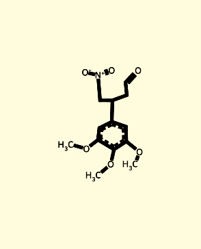 COc1cc(C(CC=O)C[N+](=O)[O-])cc(OC)c1OC